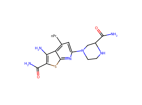 CCCc1cc(N2CCNC(C(N)=O)C2)nc2sc(C(N)=O)c(N)c12